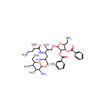 CC(=O)OCC1OC(O[C@@H](C)C(N)CC(NC(=O)[C@H](CCN)OC(C)=O)[C@H](COC2OC(CN)C(OC(=O)c3ccccc3)C2OC(=O)c2ccccc2)OC(C)=O)C(N)C(OC(C)=O)C1OC(C)=O